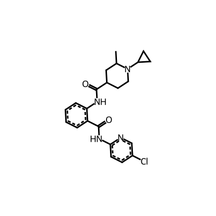 CC1CC(C(=O)Nc2ccccc2C(=O)Nc2ccc(Cl)cn2)CCN1C1CC1